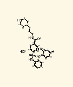 Cl.O=C(NCCCC1CCNCC1)c1ccc(S(=O)(=O)Nc2ccccc2Oc2ccc(Cl)cc2Cl)cc1